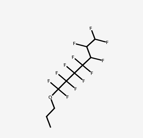 CCCOC(F)(F)C(F)(F)C(F)(F)C(F)(F)C(F)C(F)C(F)F